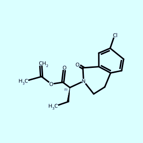 C=C(C)OC(=O)[C@H](CC)N1CCc2ccc(Cl)cc2C1=O